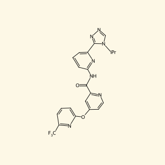 CC(C)n1cnnc1-c1cccc(NC(=O)c2cc(Oc3cccc(C(F)(F)F)n3)ccn2)n1